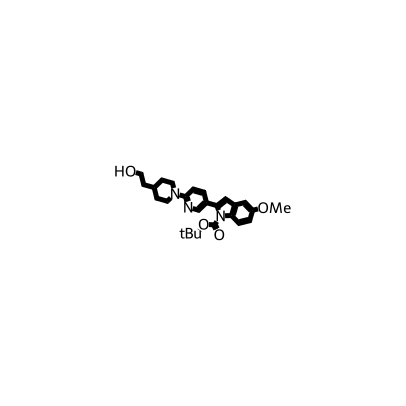 COc1ccc2c(c1)cc(-c1ccc(N3CCC(CCO)CC3)nc1)n2C(=O)OC(C)(C)C